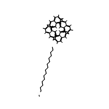 CCCCCCCCCCCCCCCC[NH2+]C.Fc1c(F)c(F)c2c([B-](c3c(F)c(F)c(F)c4c(F)c(F)c(F)c(F)c34)(c3c(F)c(F)c(F)c4c(F)c(F)c(F)c(F)c34)c3c(F)c(F)c(F)c4c(F)c(F)c(F)c(F)c34)c(F)c(F)c(F)c2c1F